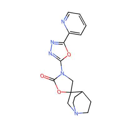 O=C1OC2(CN3CCC2CC3)CN1c1nnc(-c2ccccn2)o1